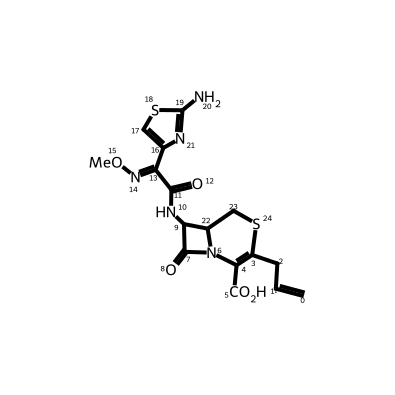 C=[C]CC1=C(C(=O)O)N2C(=O)C(NC(=O)C(=NOC)c3csc(N)n3)C2CS1